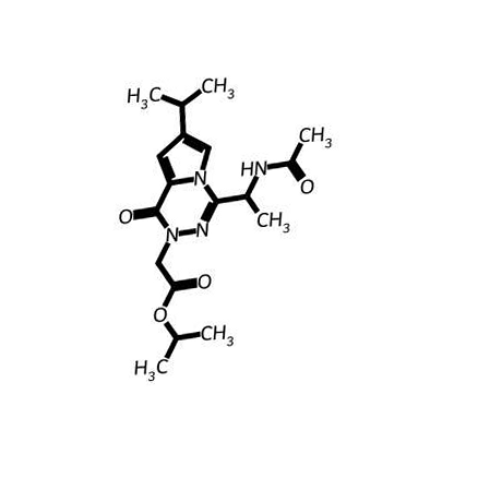 CC(=O)NC(C)c1nn(CC(=O)OC(C)C)c(=O)c2cc(C(C)C)cn12